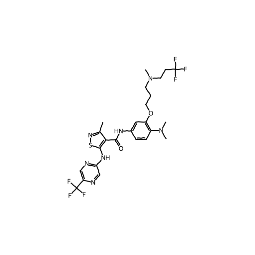 Cc1nsc(Nc2cnc(C(F)(F)F)cn2)c1C(=O)Nc1ccc(N(C)C)c(OCCCN(C)CCC(F)(F)F)c1